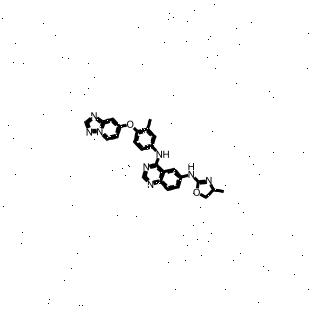 Cc1cc(Nc2ncnc3ccc(NC4=NC(C)CO4)cc23)ccc1Oc1ccn2ncnc2c1